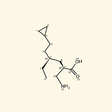 CC[C@@H](CCC1CC1)C[C@H](CN)C(=O)O